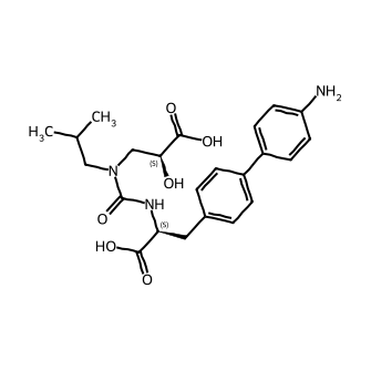 CC(C)CN(C[C@H](O)C(=O)O)C(=O)N[C@@H](Cc1ccc(-c2ccc(N)cc2)cc1)C(=O)O